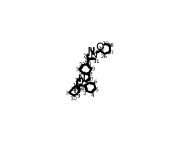 O=C(c1ccccc1)N1C2CCC1C(Cn1ccc3cc(-c4cnn(C5CCCCO5)c4)ccc31)C2